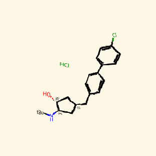 CC(C)(C)N[C@@H]1C[C@H](Cc2ccc(-c3ccc(Cl)cc3)cc2)C[C@H]1O.Cl